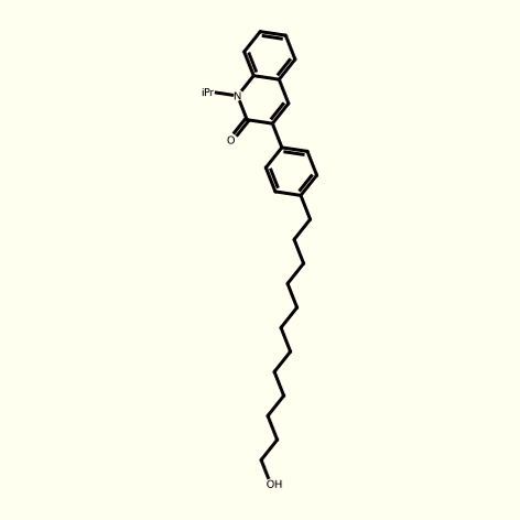 CC(C)n1c(=O)c(-c2ccc(CCCCCCCCCCCCO)cc2)cc2ccccc21